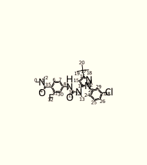 CN(C)C(=O)c1ccc(NC(=O)N(C)c2cc(C(C)(C)C)nn2-c2cccc(Cl)c2)cc1F